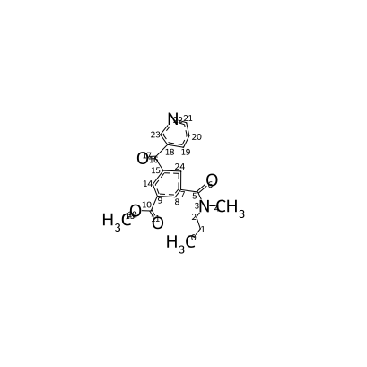 CCCN(C)C(=O)c1cc(C(=O)OC)cc(C(=O)c2cccnc2)c1